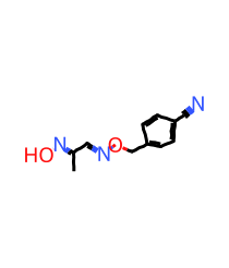 CC(/C=N/OCc1ccc(C#N)cc1)=N\O